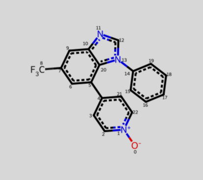 [O-][n+]1ccc(-c2cc(C(F)(F)F)cc3ncn(-c4ccccc4)c23)cc1